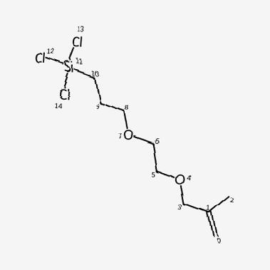 C=C(C)COCCOCCC[Si](Cl)(Cl)Cl